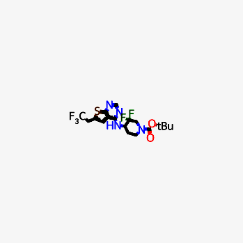 CC(C)(C)OC(=O)N1CCC(Nc2ncnc3sc(CC(F)(F)F)cc23)C(F)(F)C1